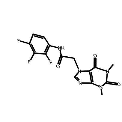 Cn1c(=O)c2c(ncn2CC(=O)Nc2ccc(F)c(F)c2F)n(C)c1=O